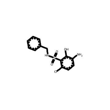 Nc1ccc(Cl)c(S(=O)(=O)NCc2ccccc2)c1O